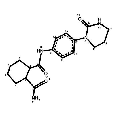 NC(=O)C1CCCCC1C(=O)Nc1ccc(N2CCCNC2=O)cc1